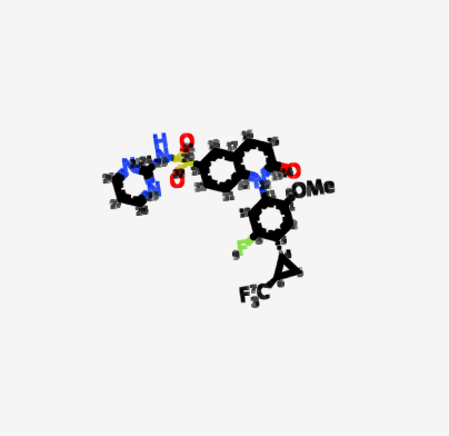 COc1cc([C@@H]2C[C@H]2C(F)(F)F)c(F)cc1-n1c(=O)ccc2cc(S(=O)(=O)Nc3ncccn3)ccc21